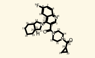 O=C(c1cnc2ccc(F)cc2c1N1CC2CCCC[C@@H]2C1)N1CCN(C(=O)C2CC2)CC1